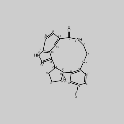 O=C1NCCOc2ncc(F)cc2[C@H]2CCCN2c2n[nH]c3ncc1cc23